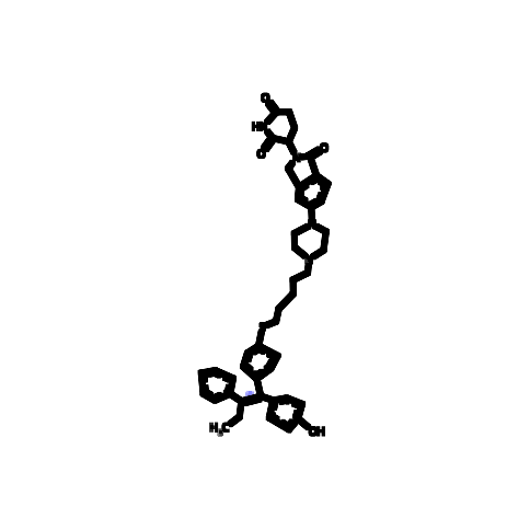 CC/C(=C(\c1ccc(O)cc1)c1ccc(SCCCCCN2CCN(c3ccc4c(c3)CN(C3CCC(=O)NC3=O)C4=O)CC2)cc1)c1ccccc1